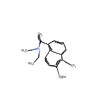 C=C(c1cccc2c(C(F)(F)F)c(OC)ccc12)N(C)CC(=O)O